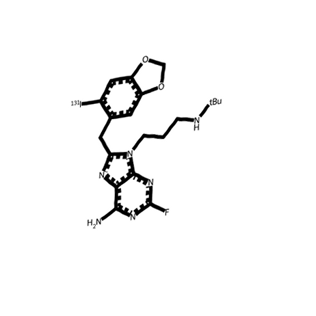 CC(C)(C)NCCCn1c(Cc2cc3c(cc2[131I])OCO3)nc2c(N)nc(F)nc21